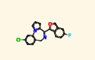 Fc1ccc2c(C3=NCc4ccc(Cl)cc4-n4cccc43)occ2c1